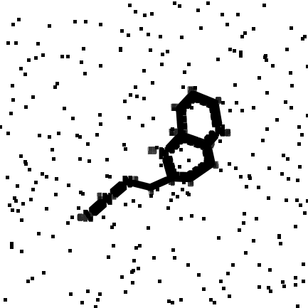 [N-]=[N+]=NCc1ccc2ncccc2n1